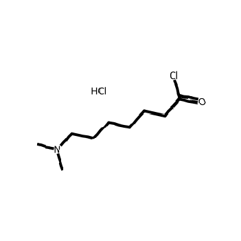 CN(C)CCCCCCC(=O)Cl.Cl